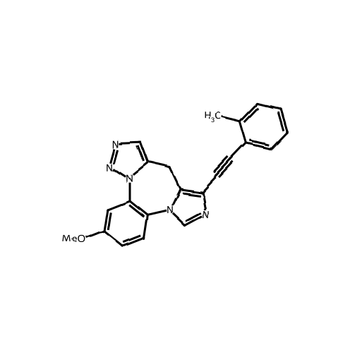 COc1ccc2c(c1)-n1nncc1Cc1c(C#Cc3ccccc3C)ncn1-2